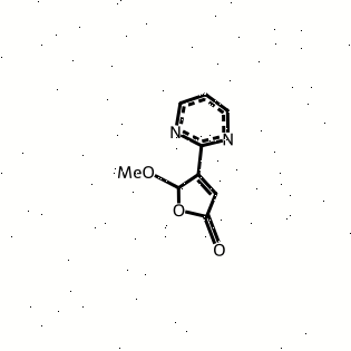 COC1OC(=O)C=C1c1ncccn1